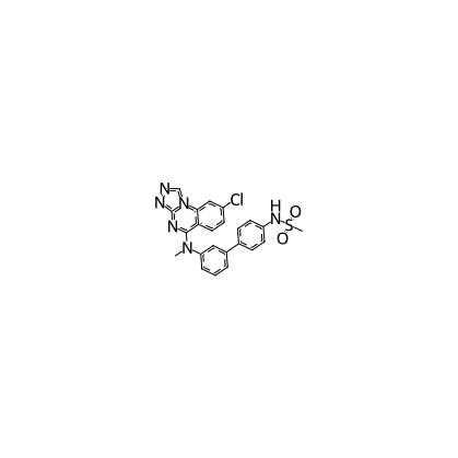 CN(c1cccc(-c2ccc(NS(C)(=O)=O)cc2)c1)c1nc2nncn2c2cc(Cl)ccc12